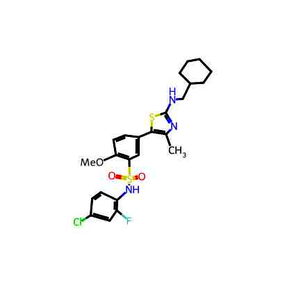 COc1ccc(-c2sc(NCC3CCCCC3)nc2C)cc1S(=O)(=O)Nc1ccc(Cl)cc1F